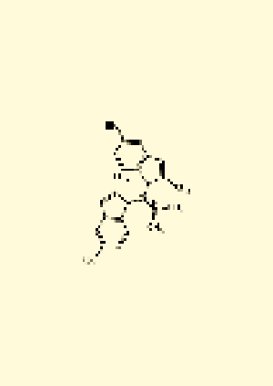 CC1=Cc2cc(C(C)(C)C)ccc2[CH]1[Zr]([CH]1C(C)=Cc2cc(C(C)(C)C)ccc21)[SiH](C)C